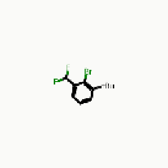 CC(C)(C)c1cccc(C(F)F)c1Br